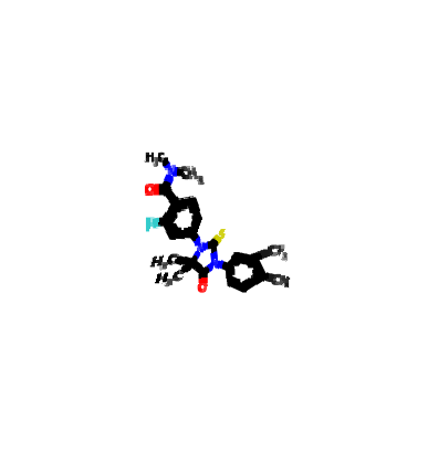 CN(C)C(=O)c1ccc(N2C(=S)N(c3ccc(C#N)c(C(F)(F)F)c3)C(=O)C2(C)C)cc1F